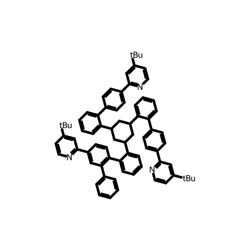 CC(C)(C)c1ccnc(-c2ccc(-c3ccccc3C3CC(c4ccccc4-c4ccc(-c5cc(C(C)(C)C)ccn5)cc4)CC(c4ccccc4-c4ccc(-c5cc(C(C)(C)C)ccn5)cc4-c4ccccc4)C3)cc2)c1